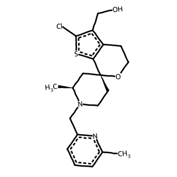 Cc1cccc(CN2CC[C@]3(C[C@@H]2C)OCCc2c3sc(Cl)c2CO)n1